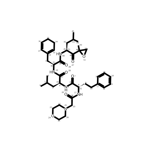 CC(C)C[C@H](NC(=O)[C@H](CCc1ccccc1)NC(=O)CN1CCOCC1)C(=O)N[C@@H](CC1=CCCC=C1)C(=O)N[C@@H](CC(C)C)C(=O)C1(C)CO1